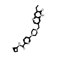 CCc1cc2ncc(CN3CCN(c4ccc(C(=O)NC56CC(C5)C6)nc4)CC3)cc2[nH]c1=O